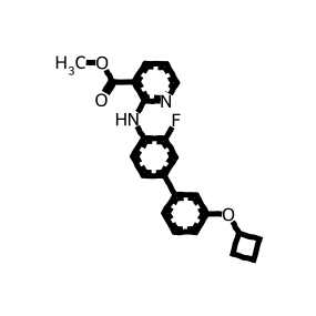 COC(=O)c1cccnc1Nc1ccc(-c2cccc(OC3CCC3)c2)cc1F